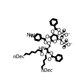 CCCCCCCCCCCCCCCC(=O)N[C@@H](CO[C@H]1O[C@H](COS(=O)(=O)[O-])[C@H](OS(=O)(=O)[O-])[C@H](OC(=O)c2ccccc2)[C@H]1OC(=O)c1ccccc1)[C@@H](CCCCCCCCCCCCCCC)OC(=O)c1ccccc1.[Na+].[Na+]